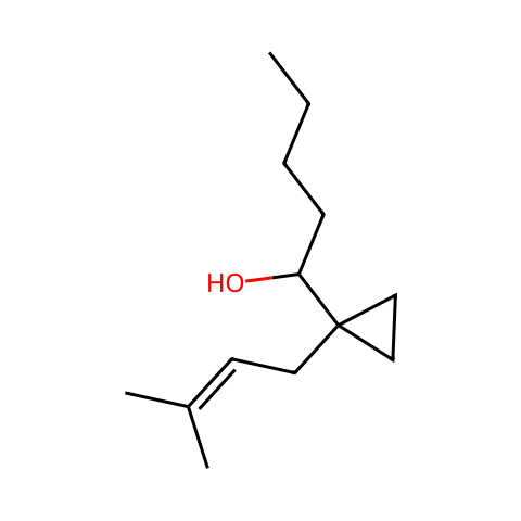 CCCCC(O)C1(CC=C(C)C)CC1